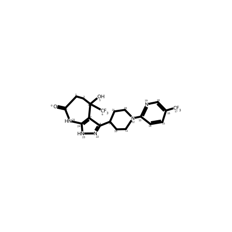 O=C1CCC(O)(C(F)(F)F)c2c(C3CCN(c4ccc(C(F)(F)F)cn4)CC3)n[nH]c2N1